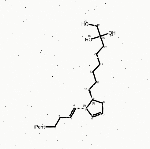 CCCC(C)CCC=C[C@H]1C=CC[C@@H]1CCCCCCC(O)(O)CO